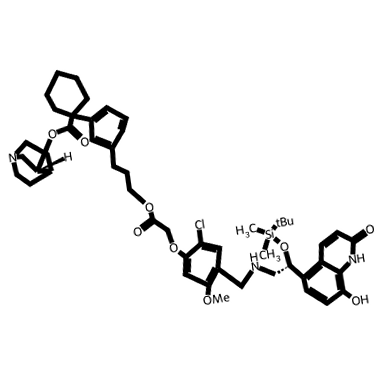 COc1cc(OCC(=O)OCCCc2cccc(C3(C(=O)O[C@H]4CN5CCC4CC5)CCCCC3)c2)c(Cl)cc1CNC[C@H](O[Si](C)(C)C(C)(C)C)c1ccc(O)c2[nH]c(=O)ccc12